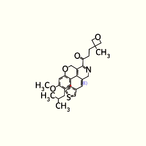 COc1cc2c(cc1CC(C)C)C1=C(CO2)C(C(=O)CCC2(C)COC2)=NC/C1=C/c1ccsc1